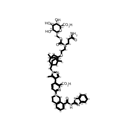 Cc1c(-c2ccc(N3CCc4cccc(C(=O)Nc5nc6ccccc6s5)c4C3)nc2C(=O)O)cnn1CC12CC3(C)CC(C)(C1)C(OCCN(CCC(N)=O)C(=O)OC[C@@H]1O[C@H](C(=O)O)[C@@H](O)[C@H](O)[C@H]1O)(C3)C2